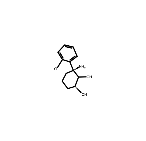 N[C@]1(c2ccccc2Cl)CCC[C@H](O)C1O